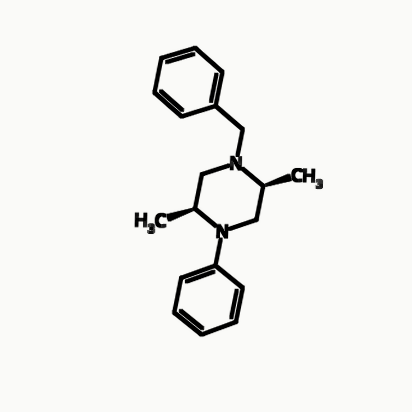 C[C@H]1CN(c2ccccc2)[C@@H](C)CN1Cc1ccccc1